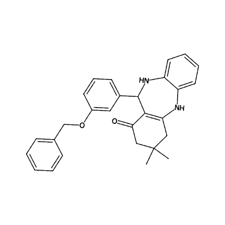 CC1(C)CC(=O)C2=C(C1)Nc1ccccc1NC2c1cccc(OCc2ccccc2)c1